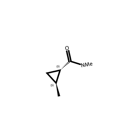 CNC(=O)[C@H]1C[C@@H]1C